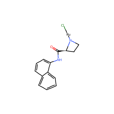 O=C(Nc1cccc2ccccc12)[C@@H]1CC[N]1[Ru][Cl]